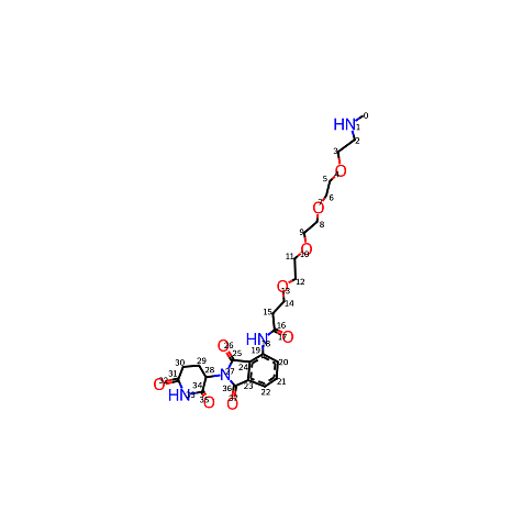 CNCCOCCOCCOCCOCCC(=O)Nc1cccc2c1C(=O)N(C1CCC(=O)NC1=O)C2=O